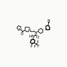 N#Cc1cccc([C@H]2CC[C@H](N(CCN3CCCC(C(=O)N4CCCC4)C3)C(=O)Nc3ccc(F)c(C(F)(F)F)c3)CC2)c1